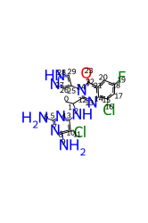 CC(Nc1nc(N)nc(N)c1Cl)c1nc2c(Cl)cc(F)cc2c(=O)n1-c1cn[nH]c1